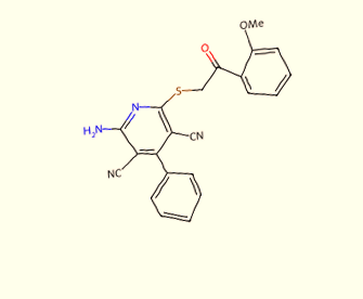 COc1ccccc1C(=O)CSc1nc(N)c(C#N)c(-c2ccccc2)c1C#N